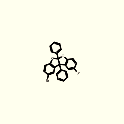 Brc1ccc2c(c1)C1(c3ccccc3)c3cc(Br)ccc3OC1(c1ccccc1)O2